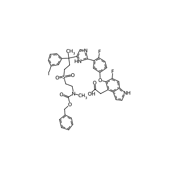 CN(CCS(=O)(=O)CCC(C)(c1cccc(I)c1)c1cnc(-c2cc(Oc3c(F)cc4[nH]ccc4c3CC(=O)O)ccc2F)[nH]1)C(=O)OCc1ccccc1